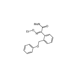 CCON=C(C(=O)NC)c1ccccc1COc1ccccc1